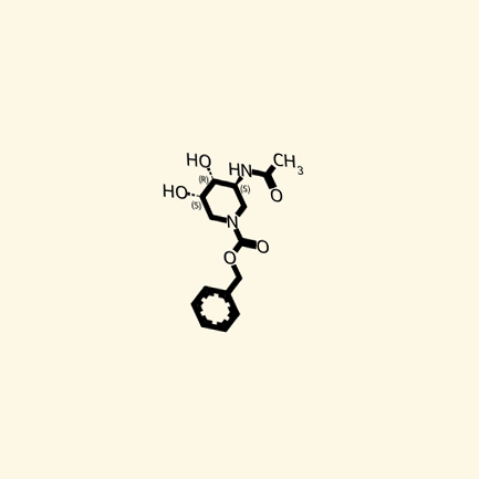 CC(=O)N[C@H]1CN(C(=O)OCc2ccccc2)C[C@H](O)[C@@H]1O